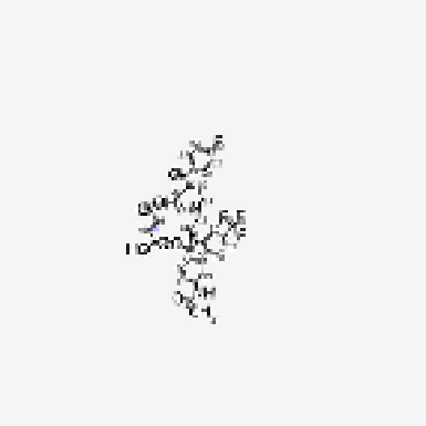 CC(=O)Nc1ccc(C(=O)N(CCN2CCC(C(=O)c3ccc(F)cc3)CC2)c2cccc(C(F)(F)F)c2)cc1.O=C(O)/C=C/C(=O)O